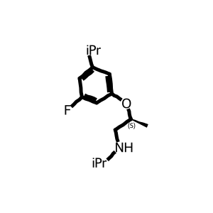 CC(C)NC[C@H](C)Oc1cc(F)cc(C(C)C)c1